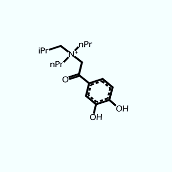 CCC[N+](CCC)(CC(=O)c1ccc(O)c(O)c1)CC(C)C